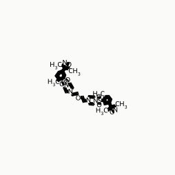 Cc1ccc(-c2c(C)noc2C)cc1S(=O)(=O)N1CCN(CCOCCN2CCN(S(=O)(=O)c3cc(-c4c(C)noc4C)ccc3C)CC2)CC1